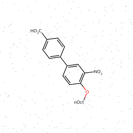 CCCCCCCCOc1ccc(-c2ccc(C(=O)O)cc2)cc1[N+](=O)[O-]